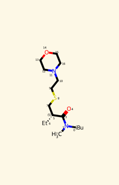 CCC(C)N(C)C(=O)[C@H](CC)CSCCN1CCOCC1